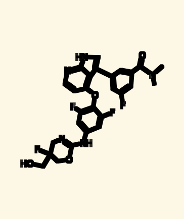 CN(C)C(=O)c1cc(F)cc(-c2c[nH]c3nccc(Oc4c(F)cc(NC5=NCC(F)(CO)CO5)cc4F)c23)c1